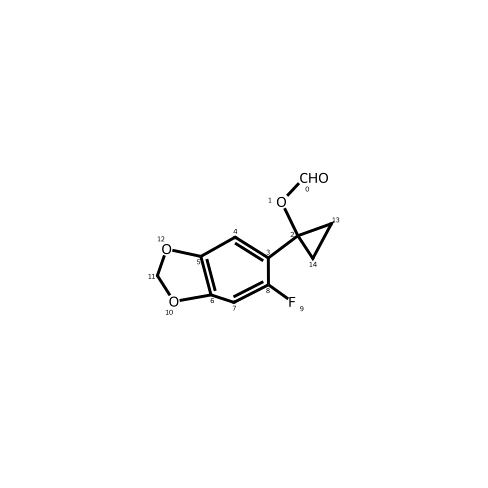 O=COC1(c2cc3c(cc2F)OCO3)CC1